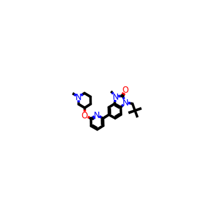 CN1CCCC(Oc2cccc(-c3ccc4c(c3)n(C)c(=O)n4CC(C)(C)C)n2)C1